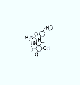 C=C(c1cc(C(C)C)c(OC)cc1O)N(C(=N)C(N)=O)c1ccc(CN2CCCC2)cc1